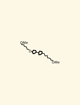 COCCCCCCCc1ccc(-c2ccc(OCCCCCCOC)cc2)cc1